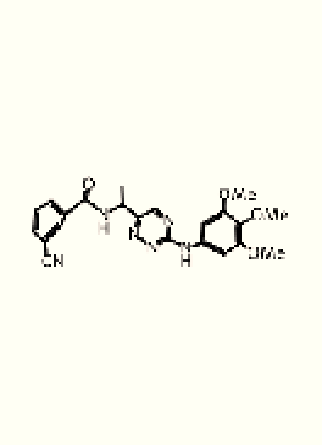 COc1cc(Nc2ncc(C(C)NC(=O)c3cccc(C#N)c3)nn2)cc(OC)c1OC